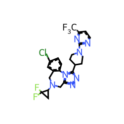 FC(F)(F)c1ccnc(N2CCC(c3nnc4n3-c3ccc(Cl)cc3CN(C3CC3(F)F)C4)CC2)n1